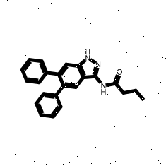 CCCC(=O)Nc1n[nH]c2cc(-c3ccccc3)c(-c3ccccc3)cc12